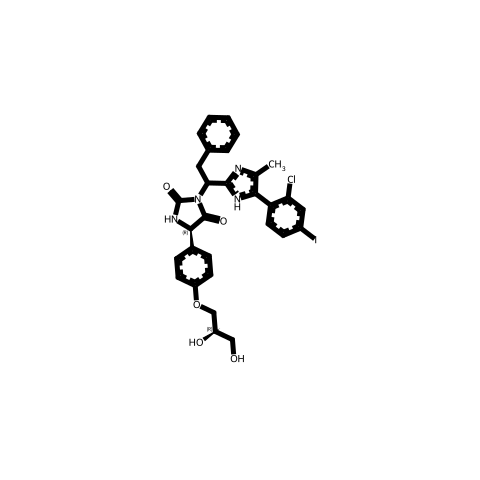 Cc1nc(C(Cc2ccccc2)N2C(=O)N[C@H](c3ccc(OC[C@H](O)CO)cc3)C2=O)[nH]c1-c1ccc(I)cc1Cl